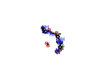 CCc1cc(Nc2nccn3c(-c4ccc(Oc5ncccn5)c(F)c4F)cnc23)ccc1C(=O)NCCCNC(=O)C1CC[N+](C)(CC2CCNC2)CC1.O=C[O-]